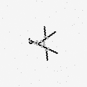 CCCCCCCCOC(CCC(=O)OCCC(CCOC(=O)CCC(OCCCCCCCC)OCCCCCCCC)OC(=O)OCC1CCCN(CC)C1)OCCCCCCCC